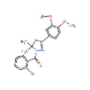 COc1ccc(C2=NN(C(=O)c3ccccc3Br)C(C)(C)C2)cc1OC